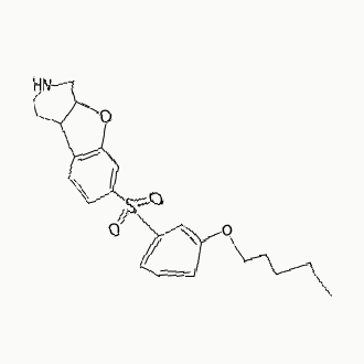 CCCCCOc1cccc(S(=O)(=O)c2ccc3c(c2)OC2CNCCC32)c1